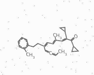 CC=C=C\C(=C/C=C(C)/C=C(/C(=O)C1CC1)C1CC1)CCc1ccccc1C